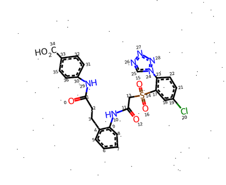 O=C(CCc1ccccc1NC(=O)CS(=O)(=O)c1cc(Cl)ccc1-n1cnnn1)Nc1ccc(C(=O)O)cc1